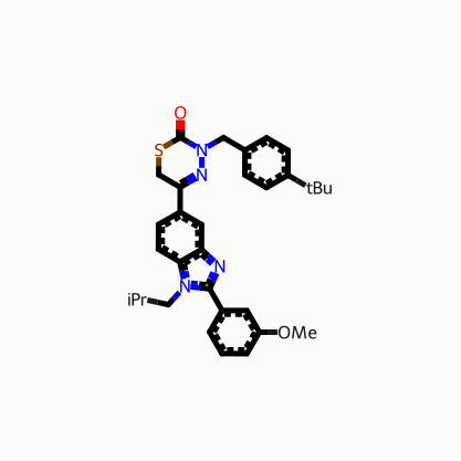 COc1cccc(-c2nc3cc(C4=NN(Cc5ccc(C(C)(C)C)cc5)C(=O)SC4)ccc3n2CC(C)C)c1